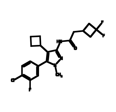 Cn1nc(NC(=O)CC2CC(F)(F)C2)c(C2CCC2)c1-c1ccc(Cl)c(F)c1